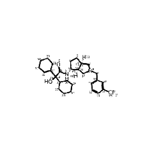 O=C(N[C@@H]1CC[C@H]2CN(Cc3cccc(C(F)(F)F)c3)C[C@H]21)C(O)(C1CCCCC1)C1CCCCC1